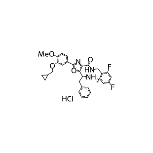 COc1ccc(-c2nc(C(=O)NCc3ccc(F)cc3F)c([C@@H](N)Cc3ccccc3)o2)cc1OCC1CC1.Cl